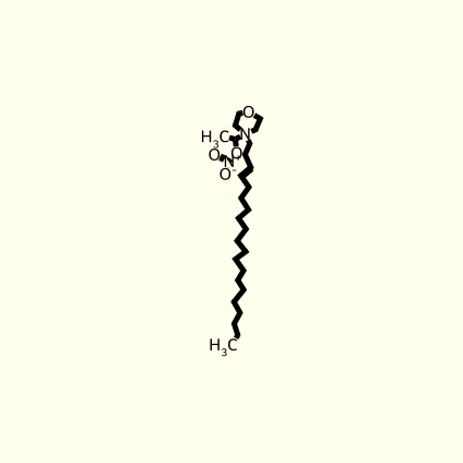 CCCCCCCCCCCCCCCCC=CCC[N+]1(C(C)O[N+](=O)[O-])CCOCC1